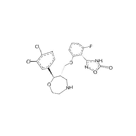 O=c1[nH]c(-c2c(F)cccc2OC[C@@H]2CNCCO[C@H]2c2ccc(Cl)c(Cl)c2)no1